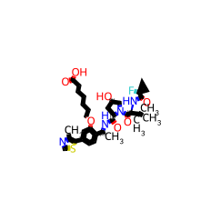 Cc1ncsc1-c1ccc([C@H](C)NC(=O)[C@@H]2C[C@@H](O)CN2C(=O)[C@@H](NC(=O)C2(F)CC2)C(C)(C)C)c(OCCCCCCC(=O)O)c1